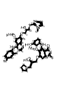 COc1c(OCC(O)CN2CCCC2)cc2nc(F)nc(Cl)c2c1Nc1cccc(O)c1.COc1cc2c(Nc3ccc(Br)cc3F)ncnc2cc1OCC(O)CSc1nccn1C